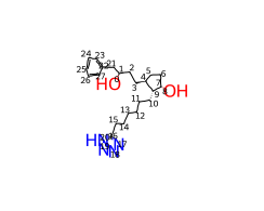 OC(CC[C@H]1CC[C@H](O)[C@@H]1CCCCCCc1nnn[nH]1)Cc1ccccc1